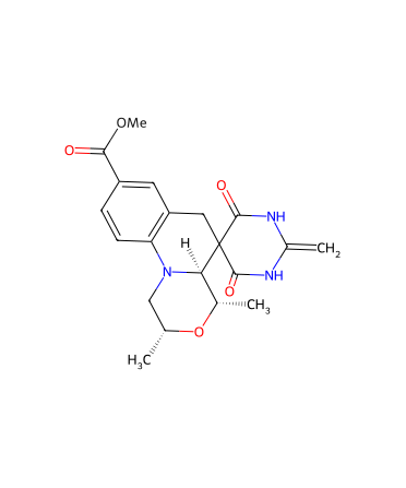 C=C1NC(=O)C2(Cc3cc(C(=O)OC)ccc3N3C[C@@H](C)O[C@@H](C)[C@@H]32)C(=O)N1